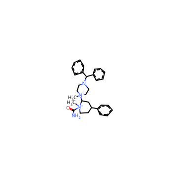 C[N+]1(C2CC(c3ccccc3)CC[N+]2(C)C(N)=O)CCN(C(c2ccccc2)c2ccccc2)CC1